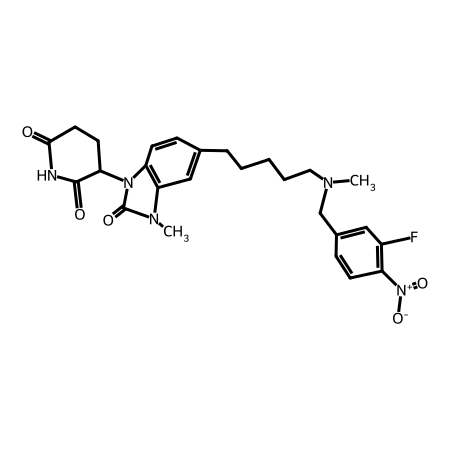 CN(CCCCCc1ccc2c(c1)n(C)c(=O)n2C1CCC(=O)NC1=O)Cc1ccc([N+](=O)[O-])c(F)c1